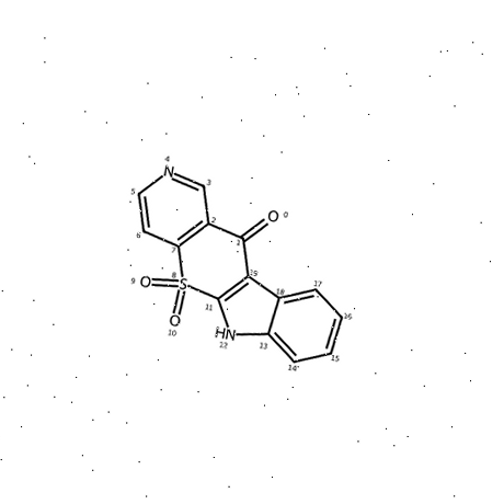 O=C1c2cnccc2S(=O)(=O)c2[nH]c3ccccc3c21